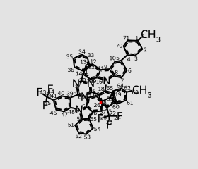 Cc1ccc(-c2ccc3c(c2)c2ccccc2n3-c2ccc(C(F)(F)F)cc2-c2nc(-c3ccccc3)nc(-c3cc(C(F)(F)F)ccc3-n3c4ccccc4c4cc(-c5ccc(C)cc5)ccc43)n2)cc1